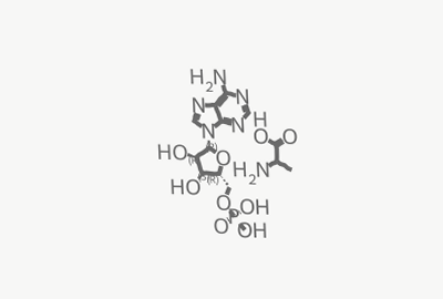 CC(N)C(=O)O.Nc1ncnc2c1ncn2[C@@H]1O[C@H](COP(=O)(O)O)[C@@H](O)[C@H]1O